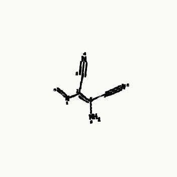 C=N/C(C#N)=C(\N)C#N